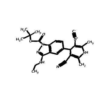 [C-]#[N+]C1=C(C)NC(C)=C(C#N)C1c1ccc2c(c1)c(NCC)nn2C(=O)OC(C)(C)C